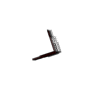 O=C(O)O.O=C(O)O.O=C(O)O.O=C(O)O.O=C(O)O.O=C(O)O.O=C(O)O.O=C(O)O.O=C(O)O.O=C(O)O.O=C(O)O.O=C(O)O.O=C(O)O.O=C(O)O.O=C(O)O.O=C(O)O.O=C(O)O.O=C(O)O.O=C(O)O.O=C(O)O.O=C([O-])[O-].O=C([O-])[O-].O=C([O-])[O-].O=C([O-])[O-].O=C([O-])[O-].O=C([O-])[O-].O=C([O-])[O-].O=C([O-])[O-].O=C([O-])[O-].O=C([O-])[O-].[Na+].[Na+].[Na+].[Na+].[Na+].[Na+].[Na+].[Na+].[Na+].[Na+].[Na+].[Na+].[Na+].[Na+].[Na+].[Na+].[Na+].[Na+].[Na+].[Na+]